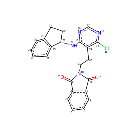 O=C1c2ccccc2C(=O)N1CCc1c(Cl)ncnc1N[C@H]1CCc2ccccc21